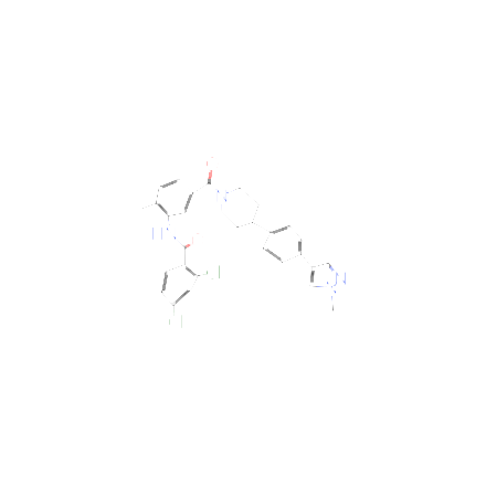 Cc1ccc(C(=O)N2CCC(c3ccc(-c4cnn(C)c4)cc3)CC2)cc1NC(=O)c1ccc(Cl)cc1Cl